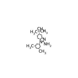 Cc1cc(C)cc(-n2c(N)nc3cc(C(C)(C)C)ccc32)c1